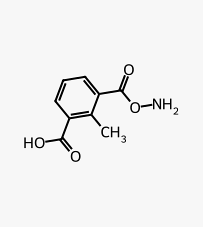 Cc1c(C(=O)O)cccc1C(=O)ON